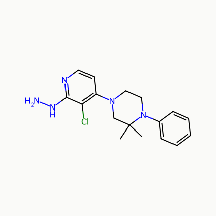 CC1(C)CN(c2ccnc(NN)c2Cl)CCN1c1ccccc1